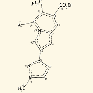 CCOC(=O)c1cc2cc(-c3ccn(C)n3)cn2c(C(C)=O)c1C